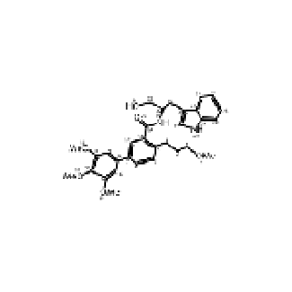 COCCCc1ccc(-c2cc(OC)c(OC)c(OC)c2)cc1C(=O)N[C@@H](CO)Cc1c[nH]c2ccccc12